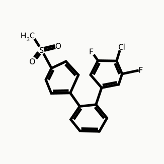 CS(=O)(=O)c1ccc(-c2ccccc2-c2cc(F)c(Cl)c(F)c2)cc1